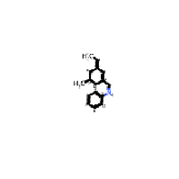 C/C=C1C=C(/C=N\c2ccccc2)CC(C)C/1